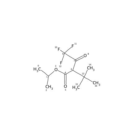 CC(C)OC(=O)C(C(=O)C(F)(F)F)C(C)(C)C